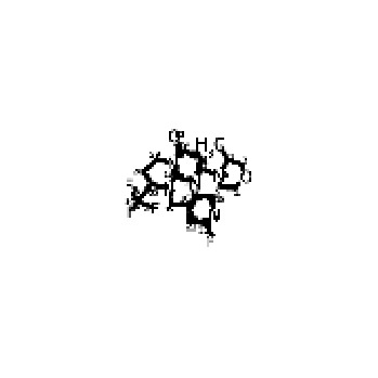 CC1COCCN1c1cc(=O)n2c(n1)N(Cc1ccnc(F)c1)C(C(F)(F)F)CC2